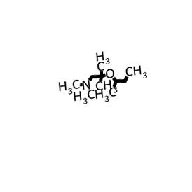 CCC(C)OC(C)(C)CN(C)C